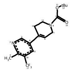 Cc1ncc(C2=CCN(C(=O)OC(C)(C)C)CC2)cc1C(F)(F)F